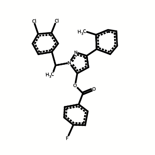 Cc1ccccc1-c1cc(OC(=O)c2ccc(F)cc2)n(C(C)c2ccc(Cl)c(Cl)c2)n1